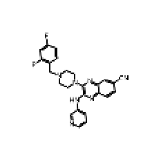 N#Cc1ccc2nc(Nc3cccnc3)c(N3CCN(Cc4ccc(F)cc4F)CC3)nc2c1